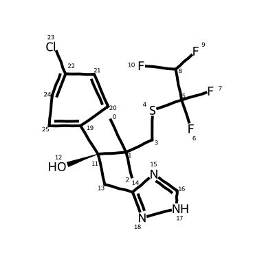 CC(C)(CSC(F)(F)C(F)F)[C@](O)(Cc1nc[nH]n1)c1ccc(Cl)cc1